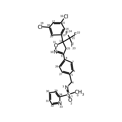 CS(=O)(=NCc1ccc(C2=NOC(c3cc(Cl)cc(Cl)c3)(C(F)(F)F)C2)cc1)c1ccccn1